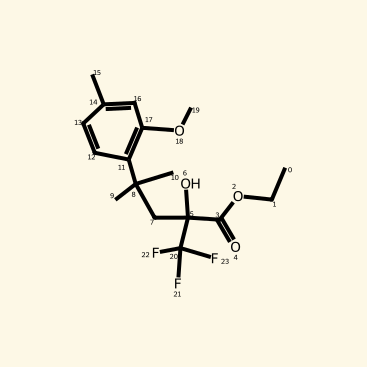 CCOC(=O)C(O)(CC(C)(C)c1ccc(C)cc1OC)C(F)(F)F